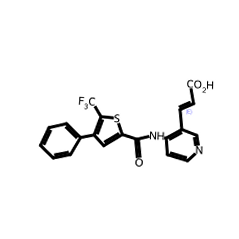 O=C(O)/C=C/c1cnccc1NC(=O)c1cc(-c2ccccc2)c(C(F)(F)F)s1